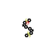 CC1(C)c2ccc(-c3ccc4c(c3)-c3c(ccc5c3Sc3ccccc3S5)C4(C)C)cc2-c2c1ccc1c2Oc2ccccc2S1